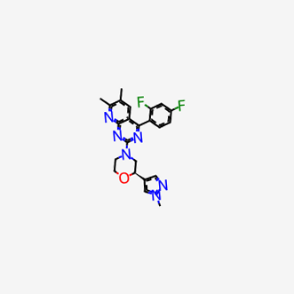 Cc1cc2c(-c3ccc(F)cc3F)nc(N3CCO[C@H](c4cnn(C)c4)C3)nc2nc1C